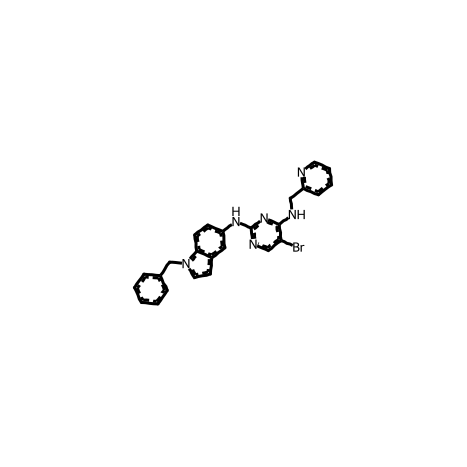 Brc1cnc(Nc2ccc3c(ccn3Cc3ccccc3)c2)nc1NCc1ccccn1